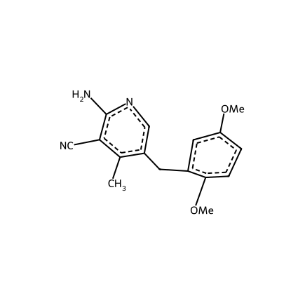 COc1ccc(OC)c(Cc2cnc(N)c(C#N)c2C)c1